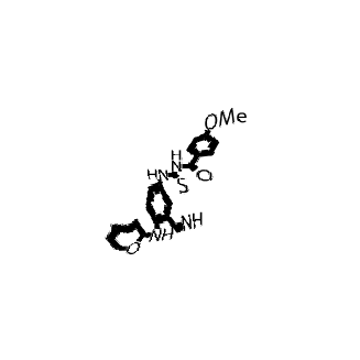 COc1ccc(C(=O)NC(=S)Nc2ccc(NC3CCCCO3)c(C=N)c2)cc1